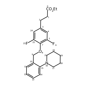 CCOC(=O)CCc1cc(F)c(OCc2ccccc2N2CCCCC2)c(F)c1